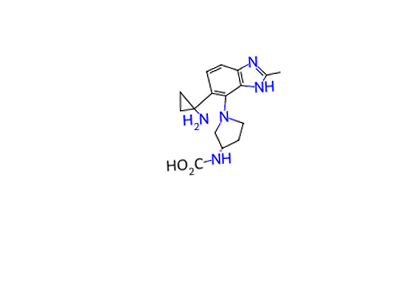 Cc1nc2ccc(C3(N)CC3)c(N3CC[C@H](NC(=O)O)C3)c2[nH]1